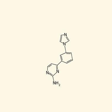 Nc1nccc(-c2cccc(-n3ccnc3)c2)n1